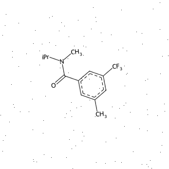 Cc1cc(C(=O)N(C)C(C)C)cc(C(F)(F)F)c1